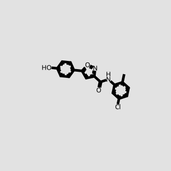 Cc1ccc(Cl)cc1NC(=O)c1cc(-c2ccc(O)cc2)on1